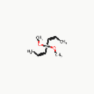 C/C=C\[Si](/C=C\C)(OC)OC